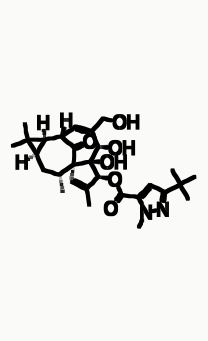 CC1=C[C@]23C(=O)[C@@H](C=C(CO)[C@@H](O)[C@]2(O)[C@H]1OC(=O)c1cc(C(C)(C)C)nn1C)[C@H]1[C@@H](C[C@H]3C)C1(C)C